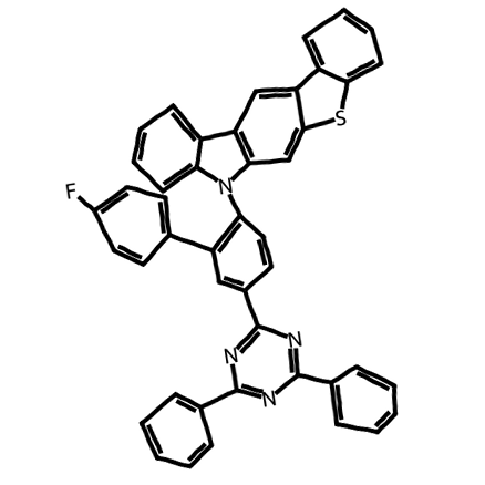 Fc1ccc(-c2cc(-c3nc(-c4ccccc4)nc(-c4ccccc4)n3)ccc2-n2c3ccccc3c3cc4c(cc32)sc2ccccc24)cc1